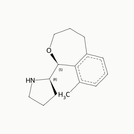 Cc1cccc2c1[C@@H]([C@H]1CCCN1)OCCC2